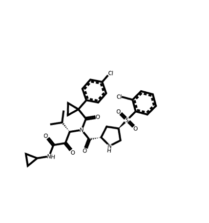 CC(C)[C@@H](C(=O)C(=O)NC1CC1)N(C(=O)[C@@H]1C[C@@H](S(=O)(=O)c2ccccc2Cl)CN1)C(=O)C1(c2ccc(Cl)cc2)CC1